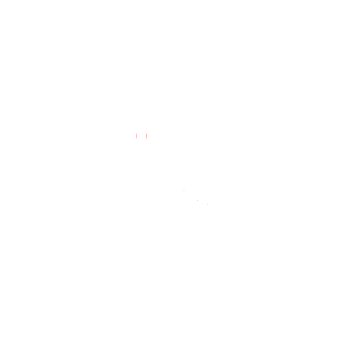 O=C1C2=Cc3ccccc3C(=O)C2=Cc2ccccc21